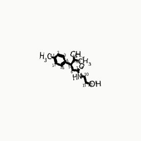 Cc1ccc(C(CC(=O)NCCO)C(C)C)cc1